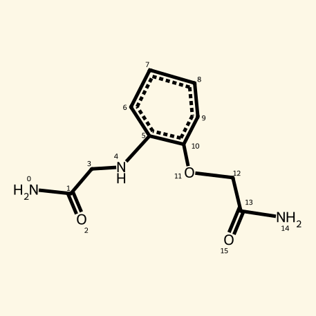 NC(=O)CNc1ccccc1OCC(N)=O